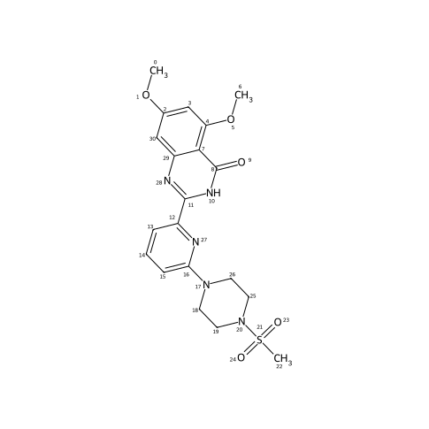 COc1cc(OC)c2c(=O)[nH]c(-c3cccc(N4CCN(S(C)(=O)=O)CC4)n3)nc2c1